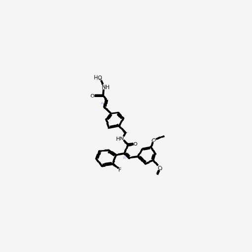 COc1cc(/C=C(\C(=O)NCc2ccc(/C=C/C(=O)NO)cc2)c2ccccc2F)cc(OC)c1